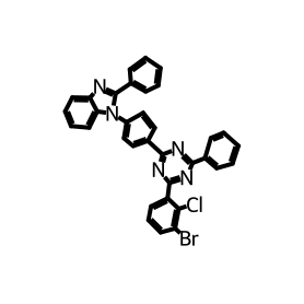 Clc1c(Br)cccc1-c1nc(-c2ccccc2)nc(-c2ccc(-n3c(-c4ccccc4)nc4ccccc43)cc2)n1